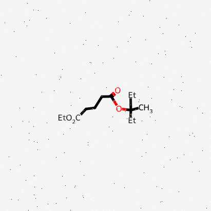 CCOC(=O)CCCC(=O)OC(C)(CC)CC